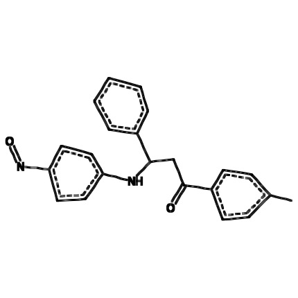 Cc1ccc(C(=O)CC(Nc2ccc(N=O)cc2)c2ccccc2)cc1